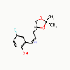 CC1(C)OC[C@H](C/C=C\c2cc(F)ccc2O)O1